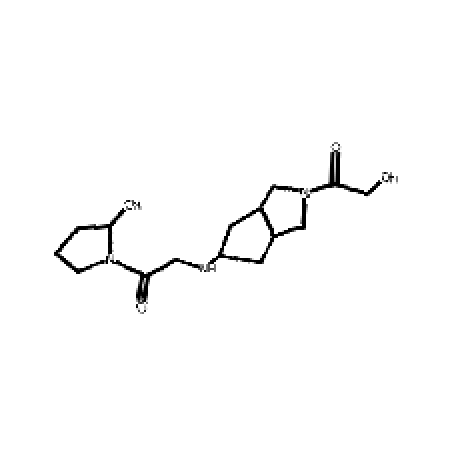 N#CC1CCCN1C(=O)CNC1CC2CN(C(=O)CO)CC2C1